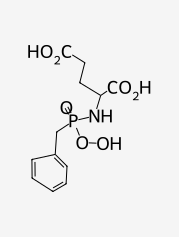 O=C(O)CCC(NP(=O)(Cc1ccccc1)OO)C(=O)O